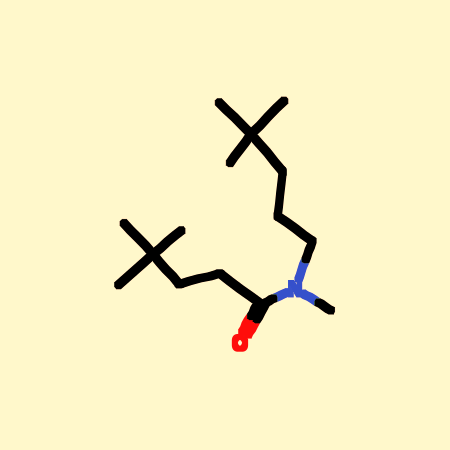 CN(CCCC(C)(C)C)C(=O)CCC(C)(C)C